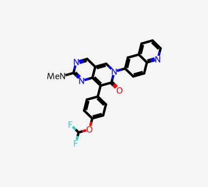 CNc1ncc2cn(-c3ccc4ncccc4c3)c(=O)c(-c3ccc(OC(F)F)cc3)c2n1